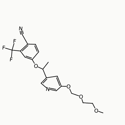 COCCOCOc1cncc(C(C)Oc2ccc(C#N)c(C(F)(F)F)c2)c1